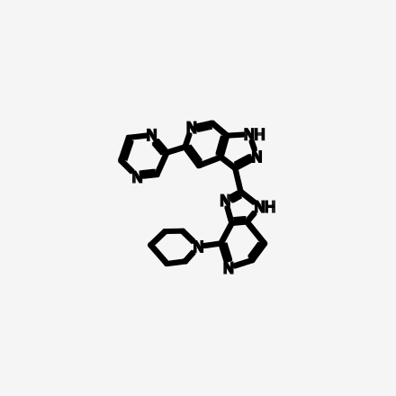 c1cnc(-c2cc3c(-c4nc5c(N6CCCCC6)nccc5[nH]4)n[nH]c3cn2)cn1